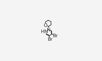 BrC1=CNN(C2CCCCO2)C=C1Br